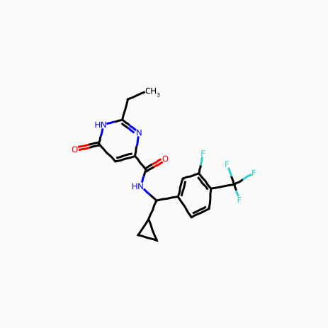 CCc1nc(C(=O)NC(c2ccc(C(F)(F)F)c(F)c2)C2CC2)cc(=O)[nH]1